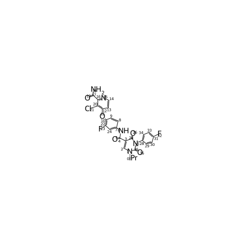 CC(C)n1cc(C(=O)Nc2ccc(Oc3ccnc(C(N)=O)c3Cl)c(F)c2)c(=O)n(-c2ccc(F)cc2)c1=O